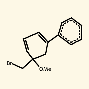 COC1(CBr)C=CC=C(c2ccccc2)C1